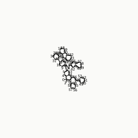 CC1(C)c2ccc(N(c3ccc4c(c3)C3(c5ccccc5-c5ccccc53)c3ccccc3-4)c3ccc4ccccc4c3)cc2-c2cc(-c3ccccc3)c3ccccc3c21